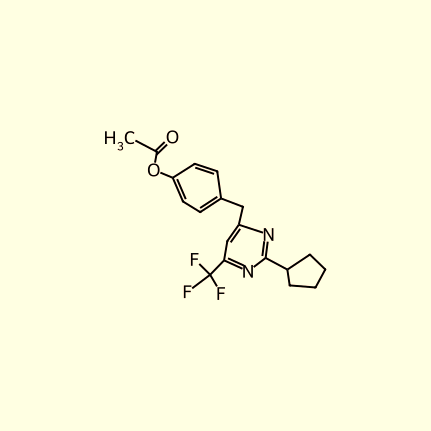 CC(=O)Oc1ccc(Cc2cc(C(F)(F)F)nc(C3CCCC3)n2)cc1